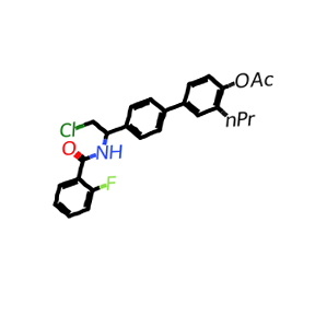 CCCc1cc(-c2ccc(C(CCl)NC(=O)c3ccccc3F)cc2)ccc1OC(C)=O